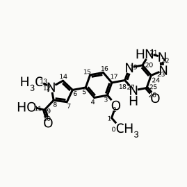 CCOc1cc(-c2cc(C(=O)O)n(C)c2)ccc1-c1nc2[nH]nnc2c(=O)[nH]1